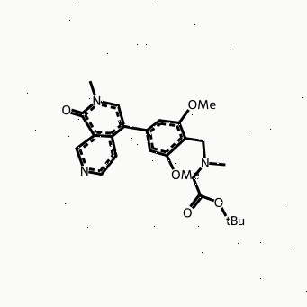 COc1cc(-c2cn(C)c(=O)c3cnccc23)cc(OC)c1CN(C)CC(=O)OC(C)(C)C